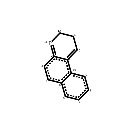 C1=c2c(ccc3ccccc23)=PCC1